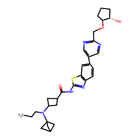 O=C(Nc1nc2ccc(-c3cnc(CO[C@H]4CCC[C@@H]4O)nc3)cc2s1)C1CC(N(CCC(F)(F)F)C23CC(C2)C3)C1